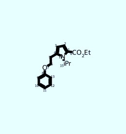 CCOC(=O)c1ccc(CCOc2ccccc2)n1C(C)C